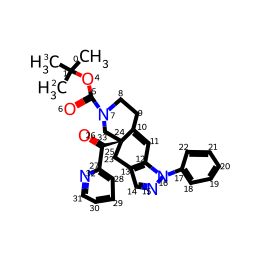 CC(C)(C)OC(=O)N1CCC2=Cc3c(cnn3-c3ccccc3)C[C@]2(C(=O)c2ccccn2)C1